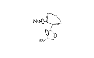 CCC(C)C1COC(c2ccccc2OC)O1